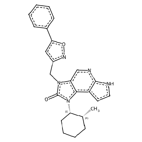 C[C@@H]1CCCC[C@@H]1n1c(=O)n(Cc2cc(-c3ccccc3)on2)c2cnc3[nH]ccc3c21